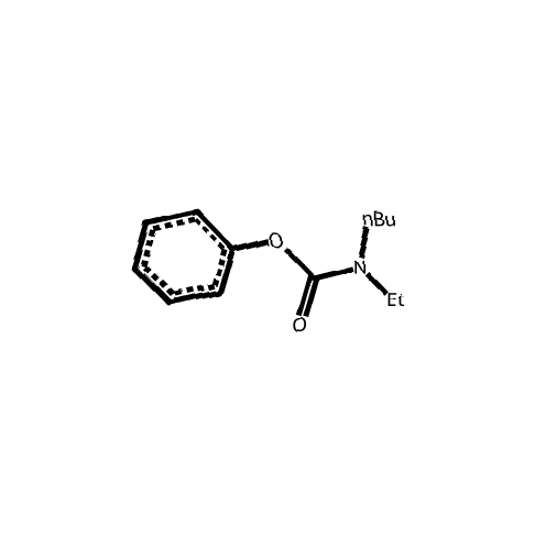 [CH2]CN(CCCC)C(=O)Oc1ccccc1